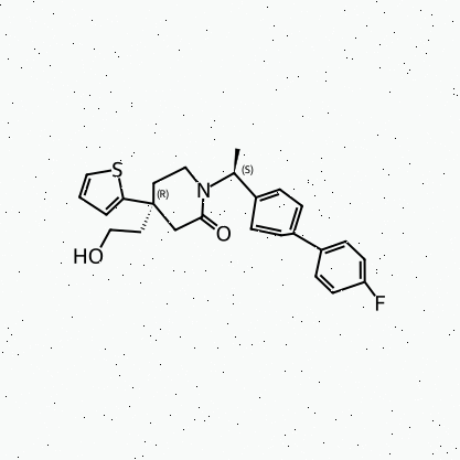 C[C@@H](c1ccc(-c2ccc(F)cc2)cc1)N1CC[C@](CCO)(c2cccs2)CC1=O